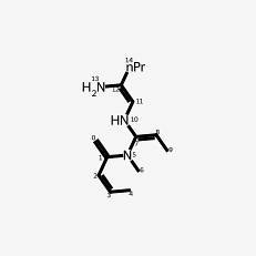 C=C(/C=C\C)N(C)/C(=C\C)N/C=C(\N)CCC